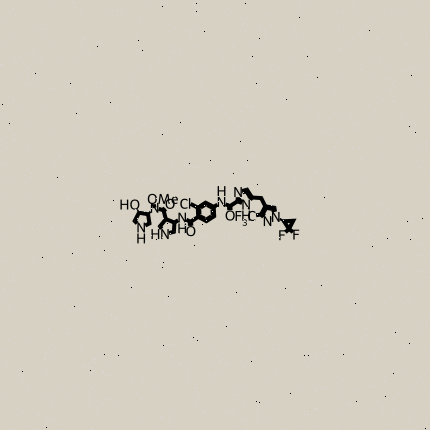 CON(C(=O)C1CNCC1NC(=O)c1ccc(NC(=O)c2ncc(Cc3cn([C@H]4CC4(F)F)nc3C(F)(F)F)[nH]2)cc1Cl)[C@H]1CNC[C@@H]1O